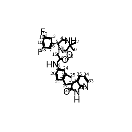 CC1(C)NC[C@H](c2cc(F)cc(F)c2)N(CC(=O)Nc2ccc3c(c2)C[C@@]2(C3)C(=O)Nc3ncccc32)C1=O